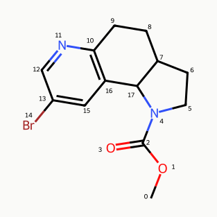 COC(=O)N1CCC2CCc3ncc(Br)cc3C21